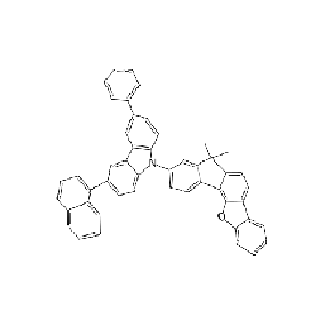 CC1(C)c2cc(-n3c4ccc(-c5ccccc5)cc4c4cc(-c5cccc6ccccc56)ccc43)ccc2-c2c1ccc1c2oc2ccccc21